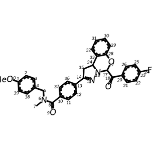 COc1ccc(CN(C)C(=O)c2ccc(C3=NN4C(C(=O)c5ccc(F)cc5)Oc5ccccc5C4C3)cc2)cc1